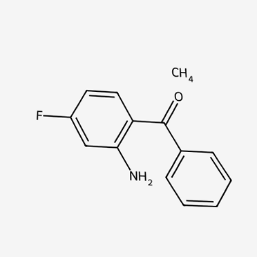 C.Nc1cc(F)ccc1C(=O)c1ccccc1